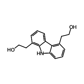 OCCc1cccc2c1[nH]c1cccc(CCO)c12